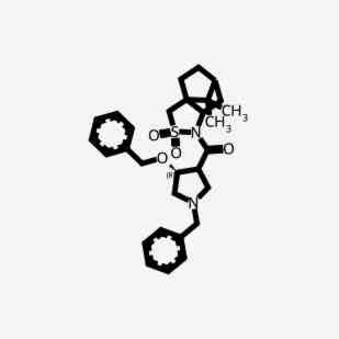 CC1(C)C2CCC13CS(=O)(=O)N(C(=O)C1CN(Cc4ccccc4)C[C@@H]1OCc1ccccc1)C3C2